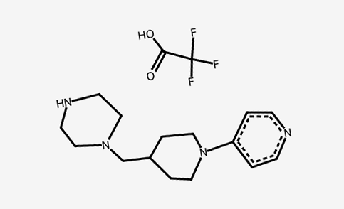 O=C(O)C(F)(F)F.c1cc(N2CCC(CN3CCNCC3)CC2)ccn1